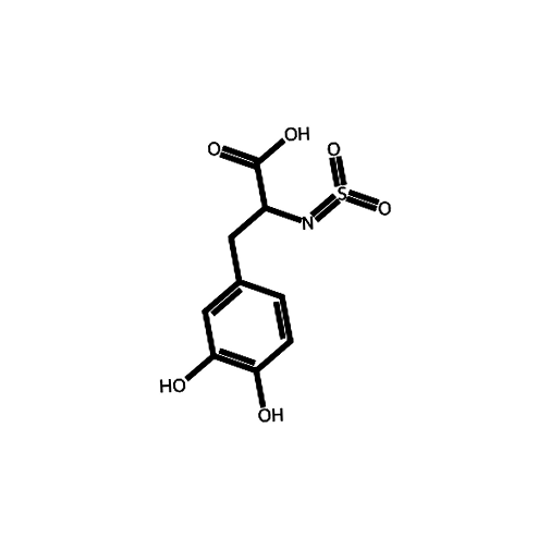 O=C(O)C(Cc1ccc(O)c(O)c1)N=S(=O)=O